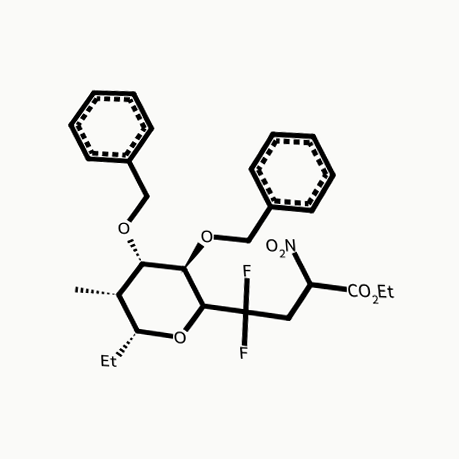 CCOC(=O)C(CC(F)(F)C1O[C@H](CC)[C@H](C)[C@H](OCc2ccccc2)[C@H]1OCc1ccccc1)[N+](=O)[O-]